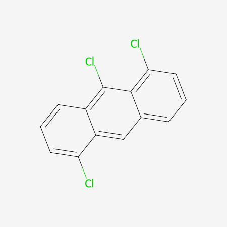 Clc1cccc2c(Cl)c3c(Cl)cccc3cc12